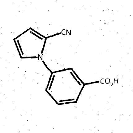 N#Cc1cccn1-c1cccc(C(=O)O)c1